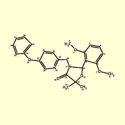 COc1cccc(OC)c1C1OC(C)(C)C(=O)N1Cc1ccc(Oc2ccccc2)cn1